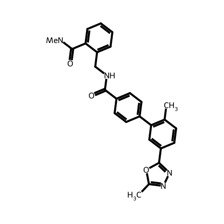 CNC(=O)c1ccccc1CNC(=O)c1ccc(-c2cc(-c3nnc(C)o3)ccc2C)cc1